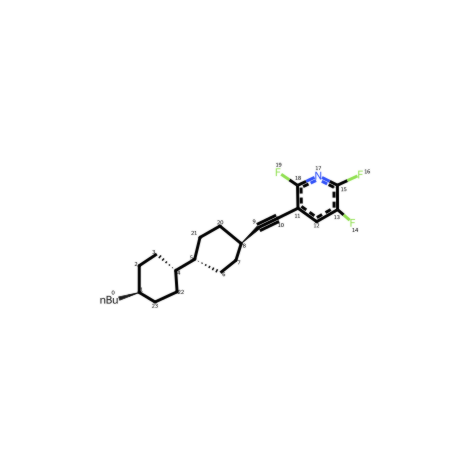 CCCC[C@H]1CC[C@H]([C@H]2CC[C@H](C#Cc3cc(F)c(F)nc3F)CC2)CC1